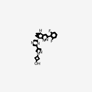 CC1(C)[C@H]2CC[C@]1(c1cncc(-c3cnn(C4CC(O)C4)c3)n1)c1nnc(-c3c(F)cccc3F)cc12